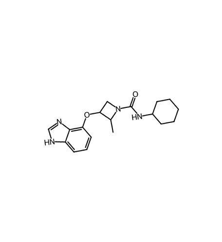 CC1C(Oc2cccc3[nH]cnc23)CN1C(=O)NC1CCCCC1